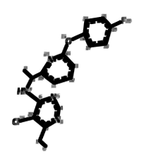 CCc1ncnc(NC(C)c2cccc(Oc3ccc(F)cc3)n2)c1Cl